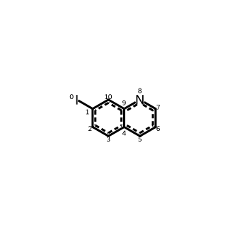 Ic1ccc2cccnc2c1